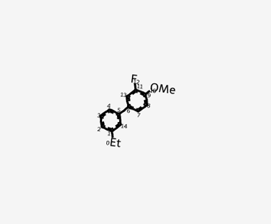 CCc1cccc(-c2ccc(OC)c(F)c2)c1